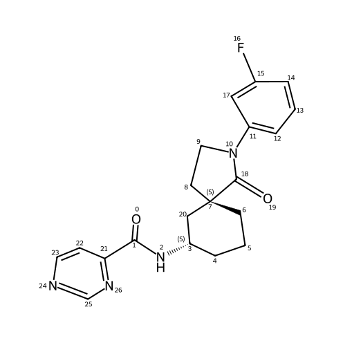 O=C(N[C@H]1CCC[C@]2(CCN(c3cccc(F)c3)C2=O)C1)c1ccncn1